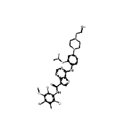 COc1c(Cl)c(NC(=O)c2csc3c(Nc4ccc(N5CCN(CCO)CC5)cc4OC(C)C)ncnc23)c(Cl)c(C)c1Br